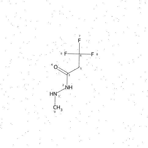 CNNC(=O)CC(F)(F)F